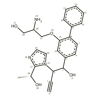 C#CC(C(O)c1ccc(-c2ccccc2)c(OCC(N)CO)c1)n1ccnc1[C@@H](C)O